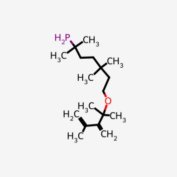 C=C(C)C(=C)C(C)(C)OCCC(C)(C)CCC(C)(C)P